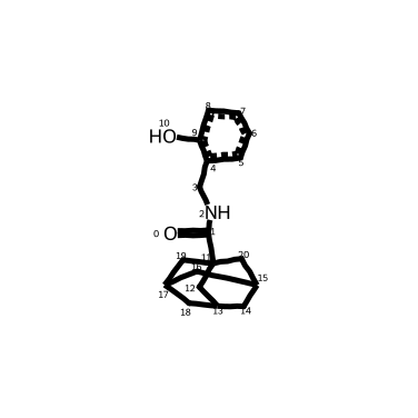 O=C(NCc1ccccc1O)C12CC3CC(CC(C3)C1)C2